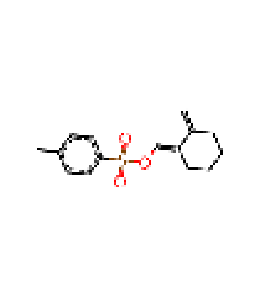 C=C1CCCC/C1=C\OS(=O)(=O)c1ccc(C)cc1